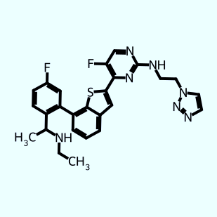 CCNC(C)c1ccc(F)cc1-c1cccc2cc(-c3nc(NCCn4ccnn4)ncc3F)sc12